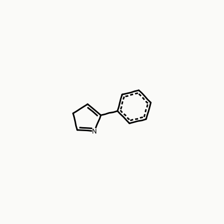 C1=NC(c2ccccc2)=CC1